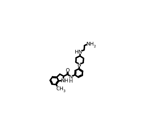 Cc1cccc2c1NC(C(=O)Nc1cccc(N3CCC(NCCN)CC3)c1)C2